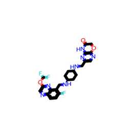 O=C1COc2ncc(CN[C@H]3CC[C@H](NCc4c(F)ccc5ncc(OC(F)F)nc45)CC3)nc2N1